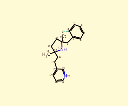 CCC1(Cc2ccccc2F)CCC(C)(CCc2cccnc2)N1